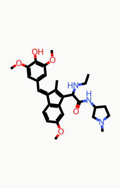 CCNC(C(=O)NC1CCN(C)C1)C1=C(C)C(=Cc2cc(OC)c(O)c(OC)c2)c2ccc(OC)cc21